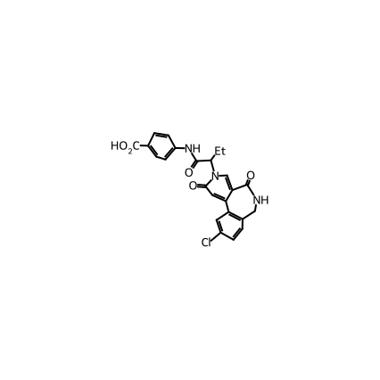 CCC(C(=O)Nc1ccc(C(=O)O)cc1)n1cc2c(cc1=O)-c1cc(Cl)ccc1CNC2=O